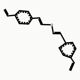 C=Cc1ccc(C=COC=Cc2ccc(C=C)cc2)cc1